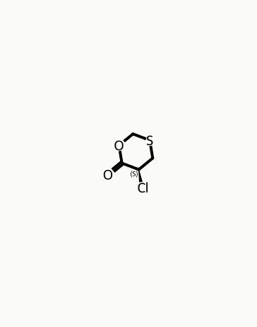 O=C1OCSC[C@H]1Cl